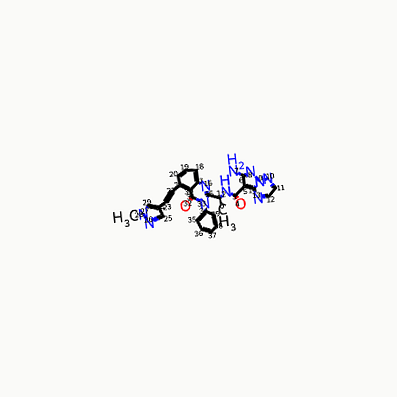 C[C@H](NC(=O)c1c(N)nn2nccnc12)c1nc2cccc(C#Cc3cnn(C)c3)c2c(=O)n1-c1ccccc1